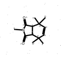 CN1C(=O)C2C(C1=O)C(C)(C)C=CC2(C)C